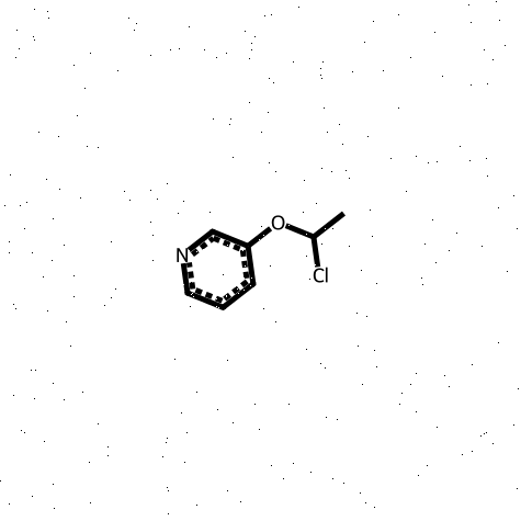 CC(Cl)Oc1cccnc1